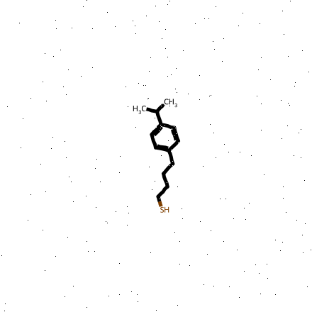 CC(C)c1ccc(CCCCS)cc1